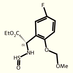 CCOC(=O)[C@@H](N[SH]=O)c1cc(F)ccc1OCOC